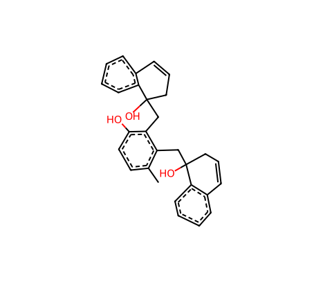 Cc1ccc(O)c(CC2(O)CC=Cc3ccccc32)c1CC1(O)CC=Cc2ccccc21